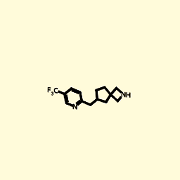 FC(F)(F)c1ccc(CC2CCC3(CNC3)C2)nc1